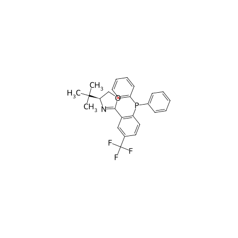 CC(C)(C)[C@H]1COC(c2cc(C(F)(F)F)ccc2P(c2ccccc2)c2ccccc2)=N1